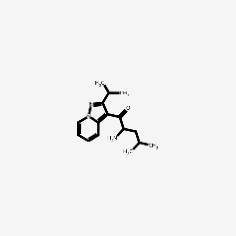 CC(C)CC(N)C(=O)c1c(C(C)C)nn2ccccc12